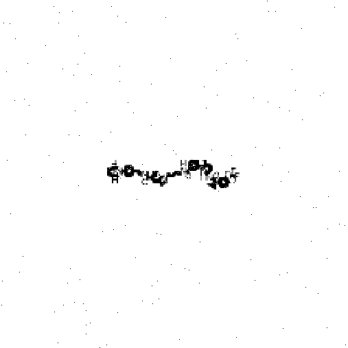 Cc1ccc(NC(=O)C2(c3ccc4c(c3)OC(F)(F)O4)CC2)nc1-c1cccc(C(=O)NCCCCn2ccc3cc(C(=O)NCCc4ccc(N5C[C@H]6CC[C@@H](C5)N6)cc4)cnc32)c1